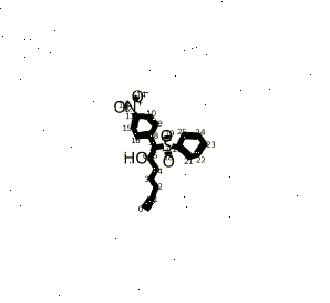 C#CCCCC(O)C(c1ccc([N+](=O)[O-])cc1)S(=O)(=O)c1ccccc1